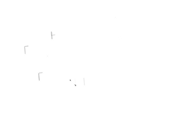 NC(CCc1ccccc1)C(F)(F)F